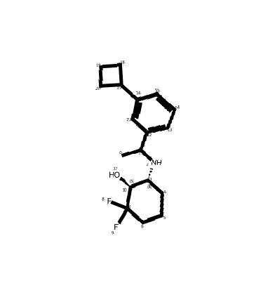 CC(N[C@@H]1CCCC(F)(F)[C@H]1O)c1cccc(C2CCC2)c1